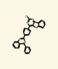 Clc1nc(-c2ccc(-c3nc(-c4ccccc4)c4ccccc4n3)cc2)c2sc3ccccc3c2n1